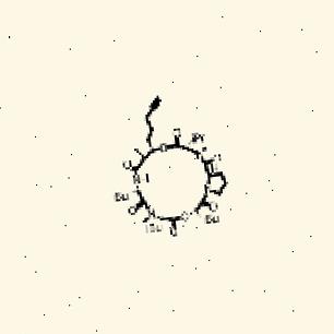 C#CCCC[C@H]1OC(=O)[C@H](C(C)C)N(C)C(=O)[C@@H]2CCCN2C(=O)[C@H]([C@@H](C)CC)OC(=O)[C@H]([C@@H](C)CC)N(C)C(=O)[C@H]([C@@H](C)CC)NC(=O)[C@H]1C